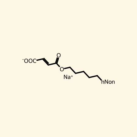 CCCCCCCCCCCCCCOC(=O)/C=C/C(=O)[O-].[Na+]